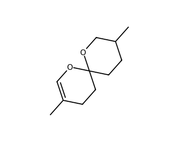 CC1=COC2(CC1)CCC(C)CO2